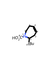 CC(C)(C)C1CC=CCCN1C(=O)O